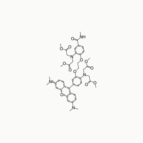 CNC(=O)c1ccc(OCCOc2cc(-c3c4ccc(=[N+](C)C)cc-4oc4cc(N(C)C)ccc34)ccc2N(CC(=O)OC)CC(=O)OC)c(N(CC(=O)OC)CC(=O)OC)c1